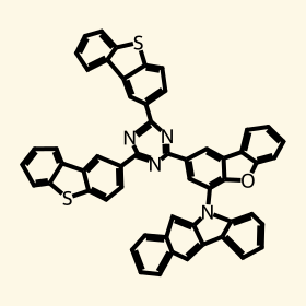 c1ccc2cc3c(cc2c1)c1ccccc1n3-c1cc(-c2nc(-c3ccc4sc5ccccc5c4c3)nc(-c3ccc4sc5ccccc5c4c3)n2)cc2c1oc1ccccc12